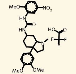 COc1ccc([N+](=O)[O-])cc1NC(=O)NC1CCC2(c3ccc(OC)c(OC)c3)CCN(C)C2C1.O=C(O)C(F)(F)F